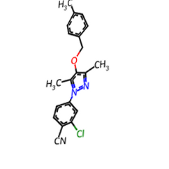 Cc1ccc(COc2c(C)nn(-c3ccc(C#N)c(Cl)c3)c2C)cc1